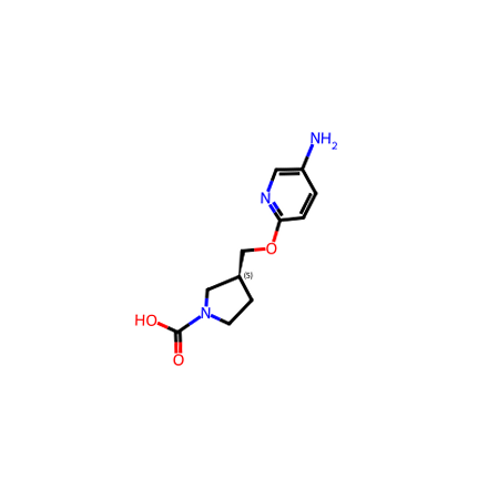 Nc1ccc(OC[C@H]2CCN(C(=O)O)C2)nc1